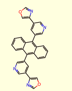 c1ccc2c(-c3cncc(-c4cocn4)c3)c3ccccc3c(-c3cncc(-c4cocn4)c3)c2c1